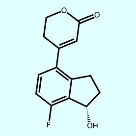 O=C1C=C(c2ccc(F)c3c2CC[C@@H]3O)CCO1